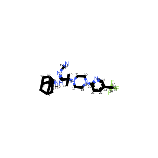 [2H]C12CC3CC(C1)C(NC(=NC#N)C(C)(C)N1CCN(c4ccc(C(F)(F)F)cn4)CC1)C(C3)C2